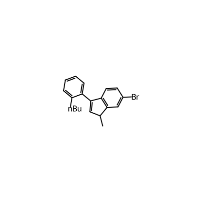 CCCCc1ccccc1C1=CC(C)c2cc(Br)ccc21